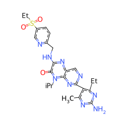 CCc1nc(N)nc(C)c1-c1ncc2nc(NCc3ccc(S(=O)(=O)CC)cn3)c(=O)n(C(C)C)c2n1